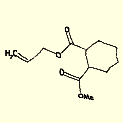 C=CCOC(=O)C1CCCCC1C(=O)OC